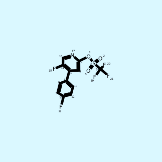 O=S(=O)(Oc1cc(-c2ccc(F)cc2)c(F)cn1)C(F)(F)F